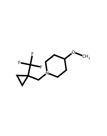 COC1CCN(CC2(C(F)(F)F)CC2)CC1